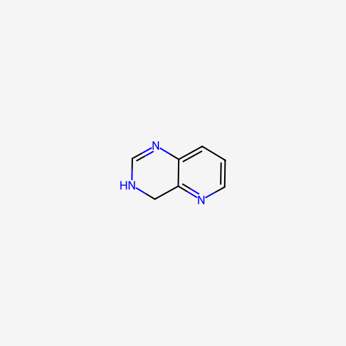 C1=Nc2cccnc2CN1